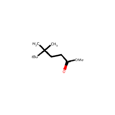 COC(=O)CCC(C)(C)C(C)(C)C